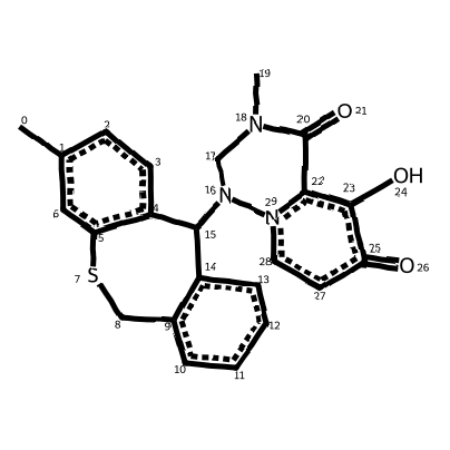 Cc1ccc2c(c1)SCc1ccccc1C2N1CN(C)C(=O)c2c(O)c(=O)ccn21